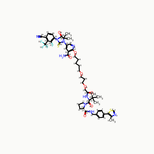 Cc1ncsc1-c1ccc(CNC(=O)[C@@H]2CCCN2C(=O)[C@@H](NC(=O)COCCCOCCCCCOc2ncc(N3C(=S)N(c4ccc(C#N)c(C(F)(F)F)c4F)C(=O)C3(C)C)cc2C(N)=O)C(C)(C)C)cc1